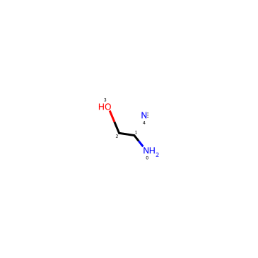 NCCO.[N]